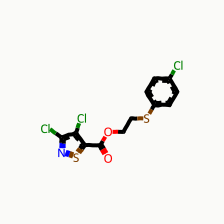 O=C(OCCSc1ccc(Cl)cc1)c1snc(Cl)c1Cl